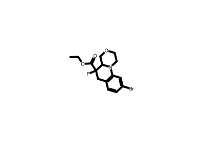 CCOC(=O)C1(F)Cc2ccc(Br)cc2N2CCOCC21